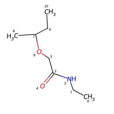 CCNC(=O)COC(C)CC